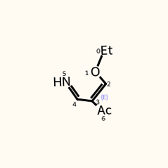 CCO/C=C(\C=N)C(C)=O